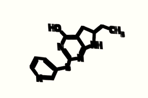 CCC1Cc2c(O)nc(Sc3cccnc3)nc2N1